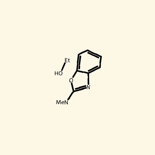 CCO.CNc1nc2ccccc2o1